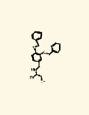 CC(C)C(CO)NCc1ccc(OCc2ccccc2)c(OCc2ccccc2)c1